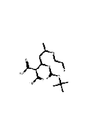 CC(CC(NC(=O)OC(C)(C)C)C(C(=O)O)C(=O)O)OCCF